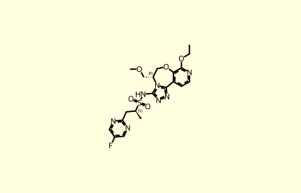 CCOc1nccc2c1OC[C@@H](COC)n1c(NS(=O)(=O)[C@@H](C)Cc3ncc(F)cn3)nnc1-2